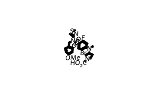 COc1ccc(CN(c2cscn2)S(=O)(=O)c2cc(Br)c(N(C)[C@H]3CCN(C(=O)O)C3)cc2F)cc1